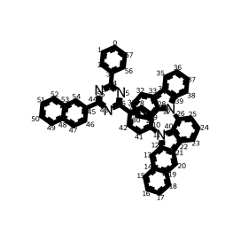 c1ccc(-c2nc(-c3ccc(-n4c5cc6ccccc6cc5c5cccc(-n6c7ccccc7c7ccccc76)c54)cc3)nc(-c3ccc4ccccc4c3)n2)cc1